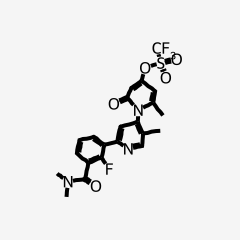 Cc1cnc(-c2cccc(C(=O)N(C)C)c2F)cc1-n1c(C)cc(OS(=O)(=O)C(F)(F)F)cc1=O